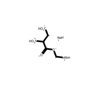 CCCCCCCCCCOC(=O)C(CC(=O)O)S(=O)(=O)O.[NaH]